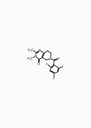 Cc1nc2c(c(=O)n1C)CN(C(=O)c1c(F)cc(F)cc1F)CC2